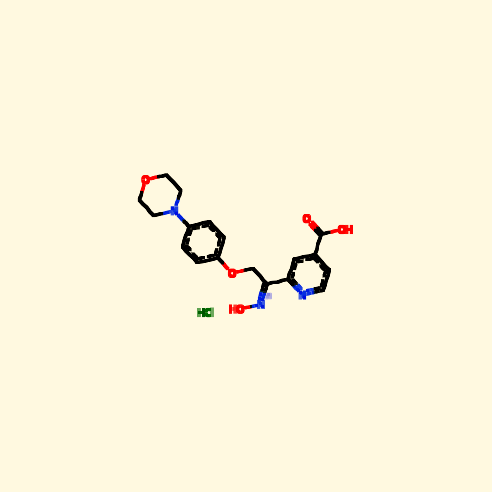 Cl.O=C(O)c1ccnc(/C(COc2ccc(N3CCOCC3)cc2)=N/O)c1